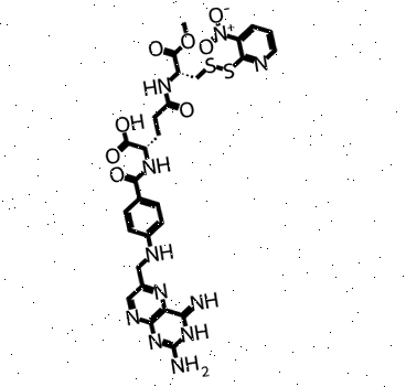 COC(=O)[C@H](CSSc1ncccc1[N+](=O)[O-])NC(=O)CC[C@H](NC(=O)c1ccc(NCc2cnc3nc(N)[nH]c(=N)c3n2)cc1)C(=O)O